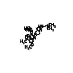 COc1cc(C(C)C)c2c(=O)[nH]c(N3CCc4nc(NCCN(C)C)ccc4C3)nc2c1.Cl.Cl.Cl